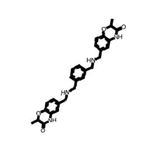 CC1Oc2ccc(CNCc3cccc(CNCc4ccc5c(c4)NC(=O)C(C)O5)c3)cc2NC1=O